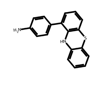 Nc1ccc(-c2cccc3c2Nc2ccccc2S3)cc1